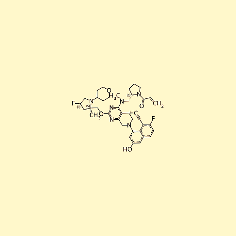 C#Cc1c(F)ccc2cc(O)cc(N3CCc4c(nc(OC[C@]5(C)C[C@@H](F)CN5C5CCOCC5)nc4N(C)C[C@@H]4CCCN4C(=O)C=C)C3)c12